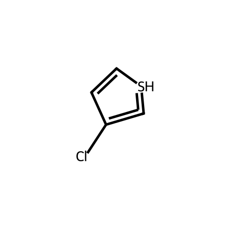 ClC1=C=[SH]C=C1